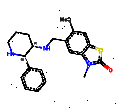 COc1cc2sc(=O)n(C)c2cc1CN[C@H]1CCCN[C@H]1c1ccccc1